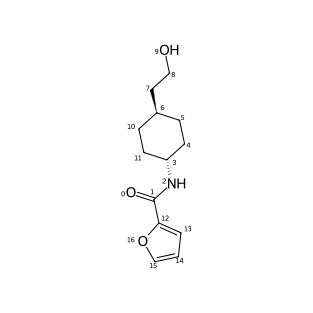 O=C(N[C@H]1CC[C@H](CCO)CC1)c1ccco1